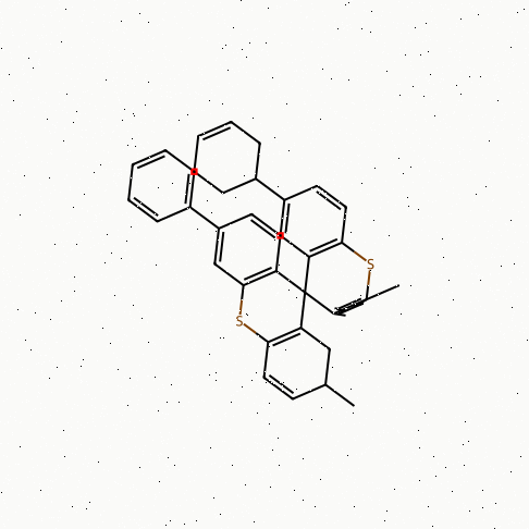 CC1C=CC2=C(C1)C1(C3=CC=CCC3(C)Sc3ccc(C4CC=CCC4)cc31)c1ccc(-c3ccccc3)cc1S2